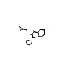 Oc1ccc2nc(N3CCC3)c(OCC3CC3)c(Cl)c2c1